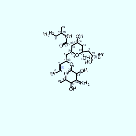 CC(C)/C=C/[C@@H](C[C@@H]1O[C@](O)(C[C@@H](O)C(C)C)C[C@H](O)[C@H]1C(=O)N[C@H](C)CN)OC1OC(C)C(O)C(N)C1O